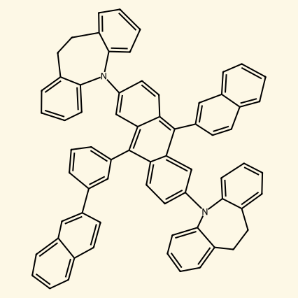 c1cc(-c2ccc3ccccc3c2)cc(-c2c3ccc(N4c5ccccc5CCc5ccccc54)cc3c(-c3ccc4ccccc4c3)c3ccc(N4c5ccccc5CCc5ccccc54)cc23)c1